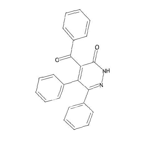 O=C(c1ccccc1)c1c(-c2ccccc2)c(-c2ccccc2)n[nH]c1=O